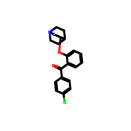 O=C(c1ccc(Cl)cc1)c1ccccc1OC1CN2CCC1CC2